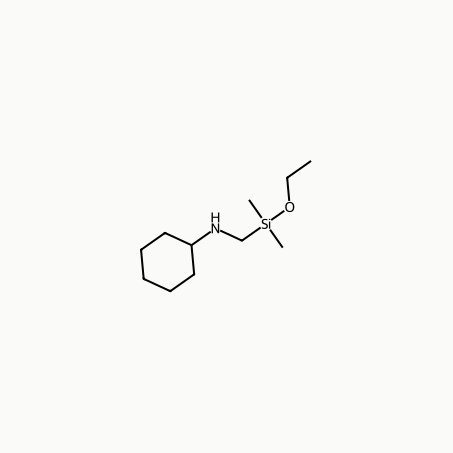 CCO[Si](C)(C)CNC1CCCCC1